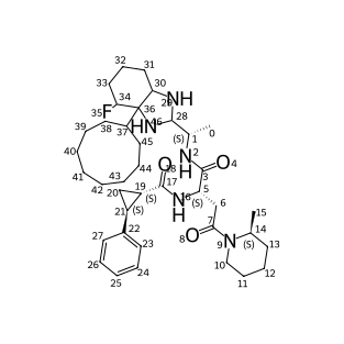 C[C@H](NC(=O)[C@H](CC(=O)N1CCCC[C@@H]1C)NC(=O)[C@H]1C[C@@H]1c1ccccc1)C1NC2CCCC(F)C2(C2CCCCCCCC2)N1